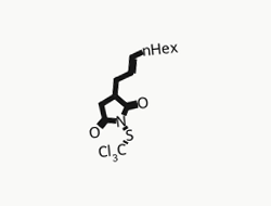 CCCCCCC=CCC1CC(=O)N(SC(Cl)(Cl)Cl)C1=O